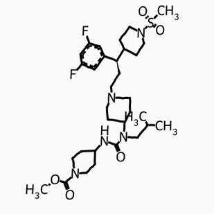 COC(=O)N1CCC(NC(=O)N(CC(C)C)C2CCN(CC[C@@H](c3cc(F)cc(F)c3)C3CCN(S(C)(=O)=O)CC3)CC2)CC1